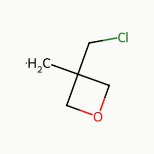 [CH2]C1(CCl)COC1